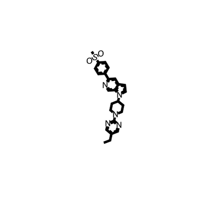 CCc1cnc(N2CCC(n3ccc4cc(-c5ccc(S(C)(=O)=O)cc5)ncc43)CC2)nc1